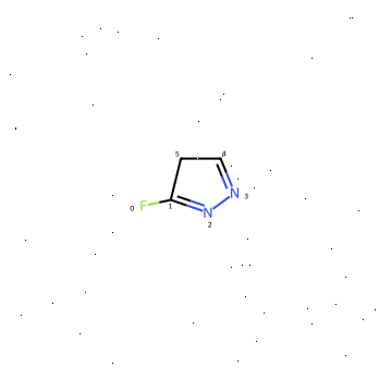 FC1=NN=CC1